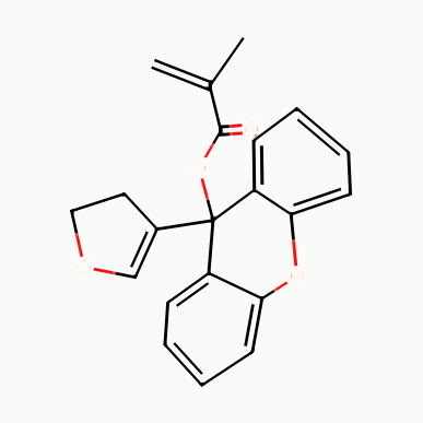 C=C(C)C(=O)OC1(C2=COCC2)c2ccccc2Oc2ccccc21